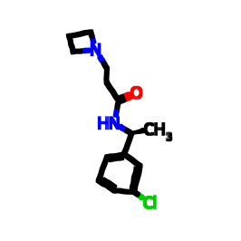 C[C@H](NC(=O)CCN1CCC1)c1cccc(Cl)c1